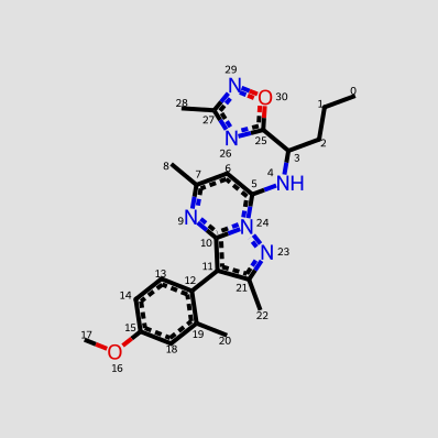 CCCC(Nc1cc(C)nc2c(-c3ccc(OC)cc3C)c(C)nn12)c1nc(C)no1